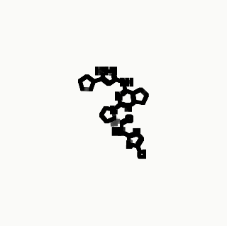 O=C(Nc1ncc(Cl)s1)[C@@H]1CCCN1c1nc2c(c(Nc3cc(C4CCCC4)[nH]n3)n1)CCC2